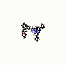 C=C/C=C(\C=C/C(C)N(c1ccc(-c2ccccc2)cc1)c1ccc(-c2ccccc2)cc1)c1ccc(-c2ccccc2)c(-c2ccc3oc4ccccc4c3c2)c1